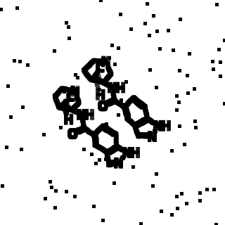 O=C(N[C@@H]1CN2CCC1CC2)c1ccc2[nH]ncc2c1.O=C(N[C@H]1CN2CCC1CC2)c1ccc2[nH]ncc2c1